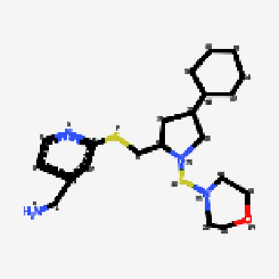 NCc1ccnc(SCC2CC(C3CCCCC3)CN2SN2CCOCC2)c1